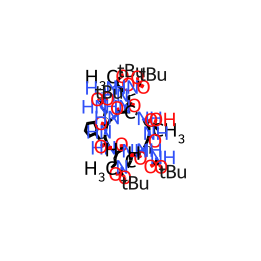 CC(OC(C)(C)C)[C@H](N)C(=O)N[C@@H](CNC(=O)OC(C)(C)C)C(=O)N[C@H]1CCNC(=O)[C@H](C(C)O)NC(=O)[C@H](CCNC(=O)OC(C)(C)C)NC(=O)[C@@H]2CCN(C(=O)OC(C)(C)C)C(C)C[C@H](NC(=O)[C@@H](CC3CCCCC3)NC(=O)[C@H](CCNC(=O)OC(C)(C)C)NC1=O)C(=O)N2